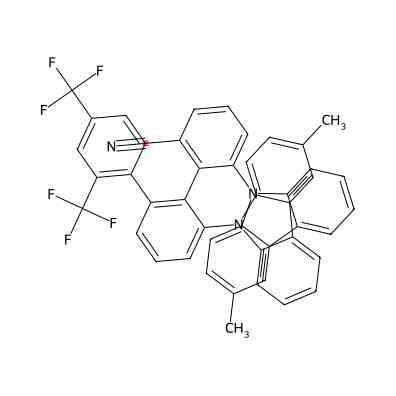 Cc1ccc2c(c1)c1ccccc1n2-c1cccc(C#N)c1-c1c(-c2ccc(C(F)(F)F)cc2C(F)(F)F)cccc1-n1c2ccccc2c2cc(C)ccc21